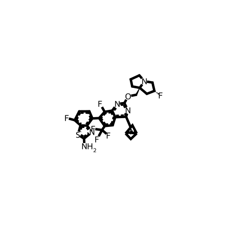 Nc1nc2c(-c3c(C(F)(F)F)cc4c(N5CC6CC5C6)nc(OC[C@@]56CCCN5C[C@H](F)C6)nc4c3F)ccc(F)c2s1